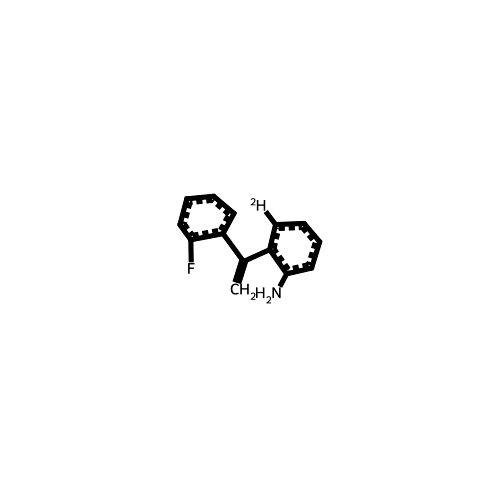 [2H]c1cccc(N)c1C(=C)c1ccccc1F